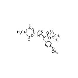 COc1ccc(CN(C(=O)OC(C)(C)C)c2nc(B3OC(=O)CN(C)CC(=O)O3)cs2)cc1